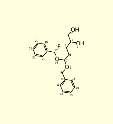 OC[C@@H](O)[C@@H](F)CC(OCc1ccccc1)OCc1ccccc1